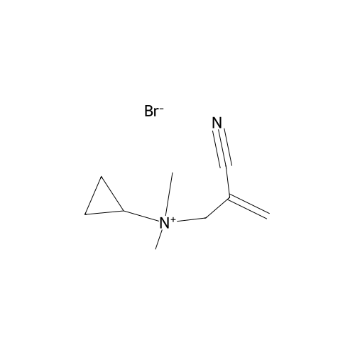 C=C(C#N)C[N+](C)(C)C1CC1.[Br-]